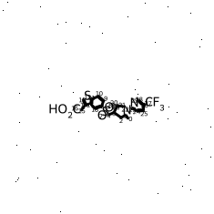 CC1CC(CS(=O)(=O)c2ccc3scc(CC(=O)O)c3c2)[C@H](C)CN1c1ccc(C(F)(F)F)cn1